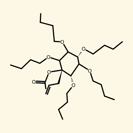 C=CC[C@@]1(OC(C)=O)C(OCCCC)C(OCCCC)[C@H](OCCCC)C(OCCCC)[C@@H]1OCCCC